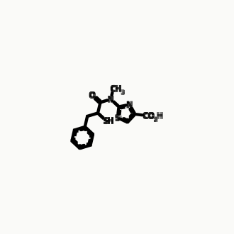 CN(C(=O)C(S)Cc1ccccc1)c1nc(C(=O)O)cs1